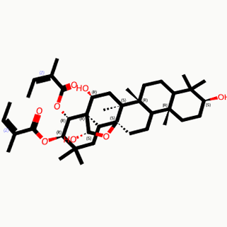 C/C=C(/C)C(=O)O[C@H]1[C@H](OC(=O)/C(C)=C\C)[C@@]23C(CC1(C)C)[C@]1(CCC4[C@@]5(C)CC[C@H](O)C(C)(C)C5CC[C@@]4(C)[C@]1(C)C[C@H]2O)O[C@@H]3O